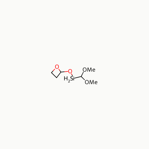 COC(OC)[SiH2]OC1CCO1